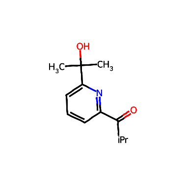 CC(C)C(=O)c1cccc(C(C)(C)O)n1